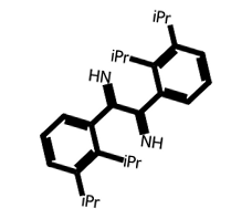 CC(C)c1cccc(C(=N)C(=N)c2cccc(C(C)C)c2C(C)C)c1C(C)C